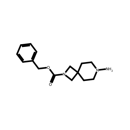 NN1CCC2(CC1)CN(C(=O)OCc1ccccc1)C2